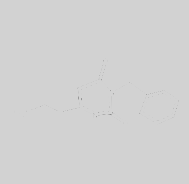 CCOC(=O)CSc1cc(=O)n(Cc2ccccc2)c(=O)[nH]1